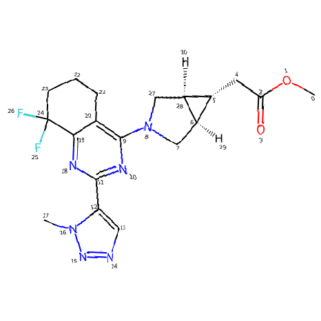 COC(=O)C[C@@H]1[C@H]2CN(c3nc(-c4cnnn4C)nc4c3CCCC4(F)F)C[C@@H]12